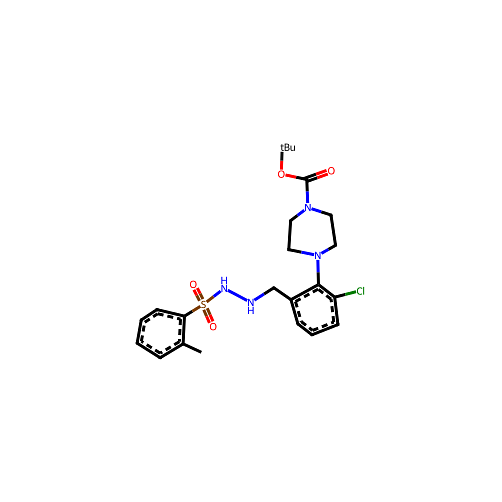 Cc1ccccc1S(=O)(=O)NNCc1cccc(Cl)c1N1CCN(C(=O)OC(C)(C)C)CC1